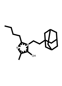 CCCCc1nc(C)c(O)n1CCC12CC3CC(CC(C3)C1)C2